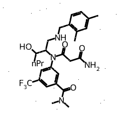 CCCC(O)C(CNCc1ccc(C)cc1C)N(C(=O)CC(N)=O)c1cc(C(=O)N(C)C)cc(C(F)(F)F)c1